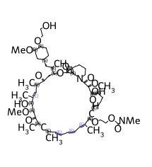 CNC(=O)OCCO[C@@H]1C[C@@H]2CC[C@@H](C)[C@@](O)(O2)C(=O)C(=O)N2CCCC[C@H]2C(=O)O[C@H]([C@H](C)C[C@@H]2CC[C@@H](OCCO)[C@H](OC)C2)CC(=O)[C@H](C)/C=C(\C)[C@@H](O)[C@@H](OC)C(=O)[C@H](C)C[C@H](C)/C=C/C=C/C=C/1C